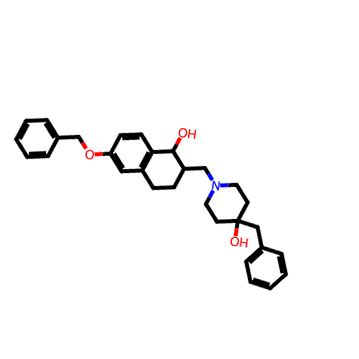 OC1c2ccc(OCc3ccccc3)cc2CCC1CN1CCC(O)(Cc2ccccc2)CC1